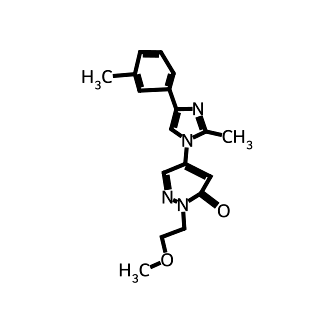 COCCn1ncc(-n2cc(-c3cccc(C)c3)nc2C)cc1=O